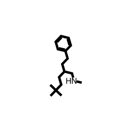 CNCC(CCc1ccccc1)CCC(C)(C)C